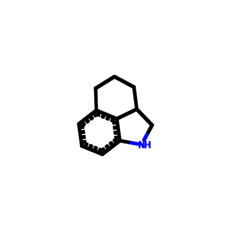 c1cc2c3c(c1)NCC3CCC2